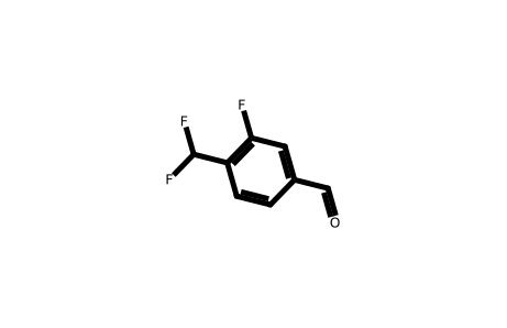 O=Cc1ccc(C(F)F)c(F)c1